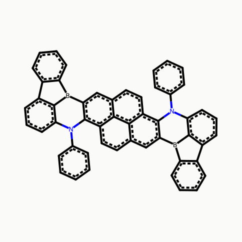 c1ccc(N2c3cccc4c3B(c3ccccc3-4)c3cc4ccc5c6c(cc7ccc(c32)c4c75)B2c3ccccc3-c3cccc(c32)N6c2ccccc2)cc1